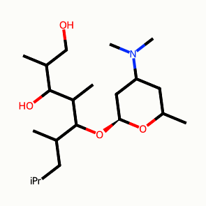 CC(C)CC(C)C(O[C@H]1CC(N(C)C)CC(C)O1)C(C)C(O)C(C)CO